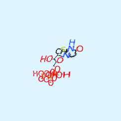 CC1C(O)C(COP(=O)(O)OP(=O)(O)OP(=O)(O)O)OC1n1ccc(=O)[nH]c1=S